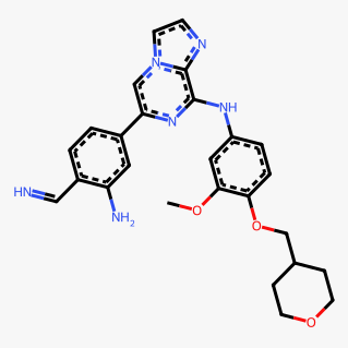 COc1cc(Nc2nc(-c3ccc(C=N)c(N)c3)cn3ccnc23)ccc1OCC1CCOCC1